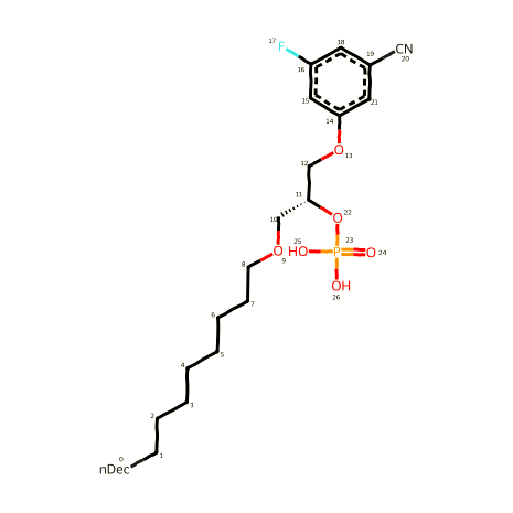 CCCCCCCCCCCCCCCCCCOC[C@H](COc1cc(F)cc(C#N)c1)OP(=O)(O)O